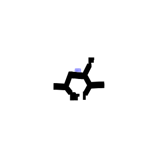 C=C(Br)/C=C(/F)C(=C)I